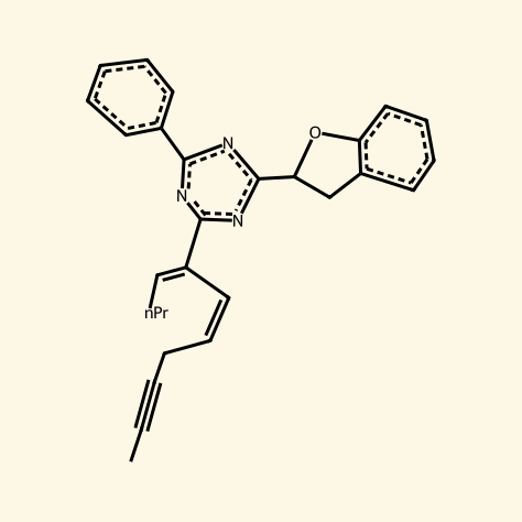 CC#CC/C=C\C(=C/CCC)c1nc(-c2ccccc2)nc(C2Cc3ccccc3O2)n1